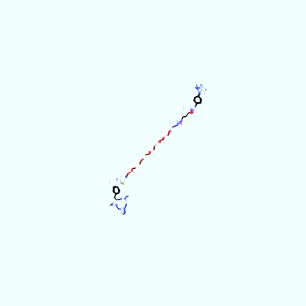 O=C(O)CN1CCN(CC(=O)O)CC(Cc2ccc(NC(=S)NCCOCCOCCOCCOCCOCCOCCOCCNC(=O)CCCC(=O)NCc3ccc(-c4nncnn4)cc3)cc2)N(CC(=O)O)CC1